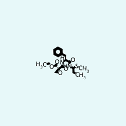 CCOC(=O)[C@@]1(C(=O)N[C@@H](Cc2ccccc2)C(=O)NC(CC)SC)CO1